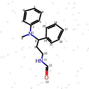 CN(c1ccccc1)C(CCNC=O)c1ccccc1